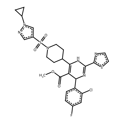 COC(=O)C1=C(C2CCN(S(=O)(=O)c3cnn(C4CC4)c3)CC2)NC(c2nccs2)=NC1c1ccc(F)cc1Cl